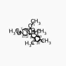 CCOC(=O)N1CCN(OC)CCN1C(=O)Cc1c(C)cc(C)cc1OC